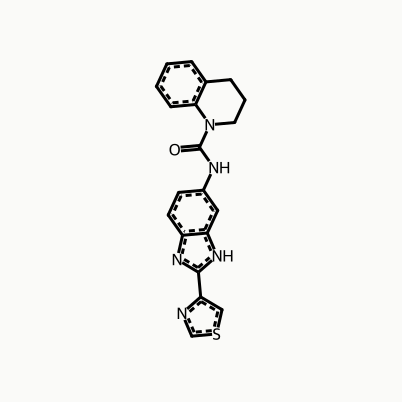 O=C(Nc1ccc2nc(-c3cscn3)[nH]c2c1)N1CCCc2ccccc21